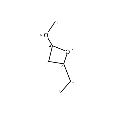 CCC1CC(OC)O1